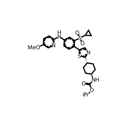 COc1ccc(Nc2ccc(-c3cnc([C@H]4CC[C@H](NC(=O)OC(C)C)CC4)s3)c(S(=O)(=O)C3CC3)c2)nc1